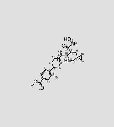 COC(=O)c1ccc(C2CCN(C(=O)[C@H]3NCC4(CC4)C[C@@H]3C(=O)NO)CC2)c(C)c1